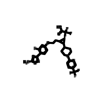 Cc1nnc(-c2ccc(OCCC3CC3C3CCN(c4ccc(C(F)(F)F)cn4)CC3)cc2F)o1.O=C(O)C(F)(F)F